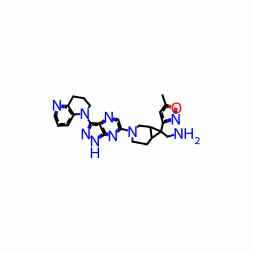 Cc1cc(C2(CN)C3CCN(c4cnc5c(N6CCCc7ncccc76)n[nH]c5n4)CC32)no1